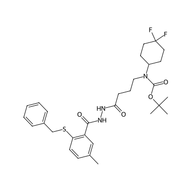 Cc1ccc(SCc2ccccc2)c(C(=O)NNC(=O)CCCN(C(=O)OC(C)(C)C)C2CCC(F)(F)CC2)c1